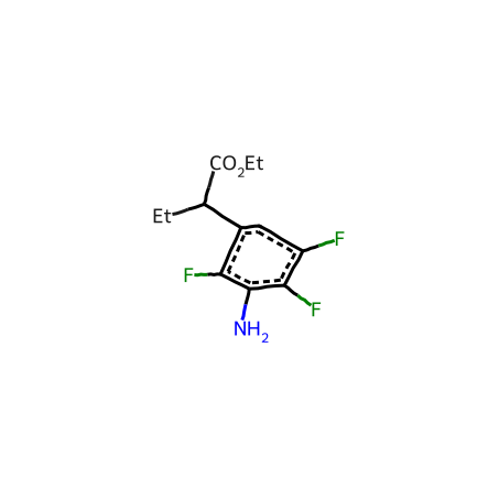 CCOC(=O)C(CC)c1cc(F)c(F)c(N)c1F